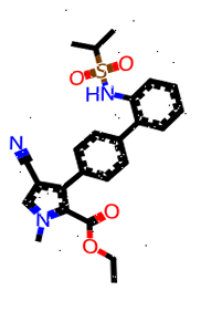 CCOC(=O)c1c(-c2ccc(-c3ccccc3NS(=O)(=O)C(C)C)cc2)c(C#N)cn1C